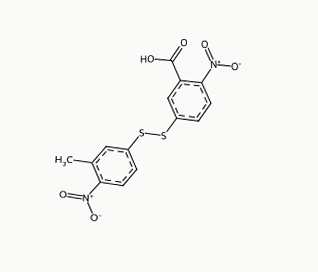 Cc1cc(SSc2ccc([N+](=O)[O-])c(C(=O)O)c2)ccc1[N+](=O)[O-]